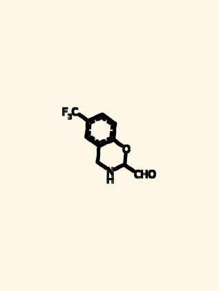 O=CC1NCc2cc(C(F)(F)F)ccc2O1